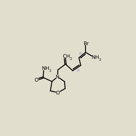 C=C(/C=C\C=C(/N)Br)CN1CCOCC1C(N)=O